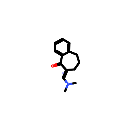 CN(C)/C=C1\CCCc2ccccc2C1=O